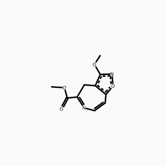 COC(=O)C1=NC=Cc2onc(OC)c2C1